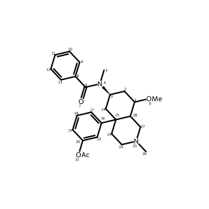 COC1C[C@H](N(C)C(=O)c2ccccc2)CC2(c3cccc(OC(C)=O)c3)CCN(C)CC12